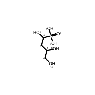 O=P(O)(O)C(O)CC(O)CO